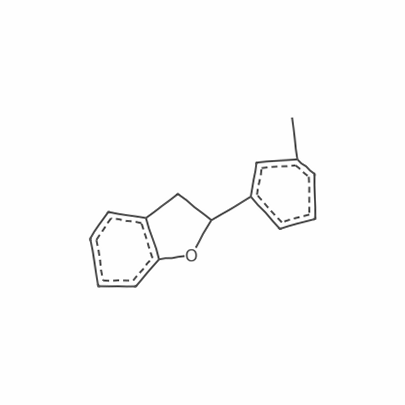 Cc1cccc(C2Cc3ccccc3O2)c1